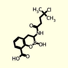 CC(C)(Cl)CCC(=O)NC1Cc2cccc(C(=O)O)c2OB1O